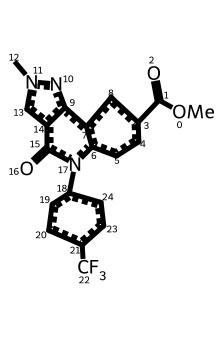 COC(=O)c1ccc2c(c1)c1nn(C)cc1c(=O)n2-c1ccc(C(F)(F)F)cc1